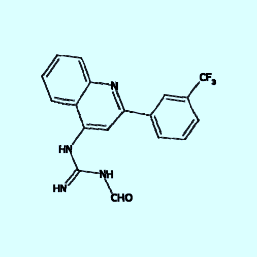 N=C(NC=O)Nc1cc(-c2cccc(C(F)(F)F)c2)nc2ccccc12